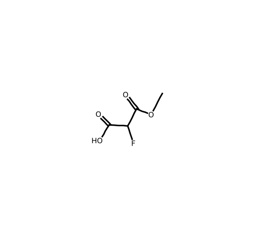 COC(=O)C(F)C(=O)O